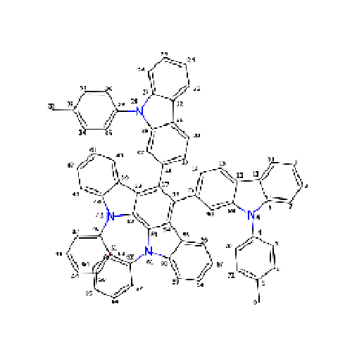 Cc1ccc(-n2c3ccccc3c3ccc(-c4c(-c5ccc6c7ccccc7n(-c7ccc(C)cc7)c6c5)c5c6ccccc6n(-c6ccccc6)c5c5c4c4ccccc4n5-c4ccccc4)cc32)cc1